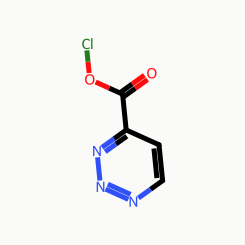 O=C(OCl)c1ccnnn1